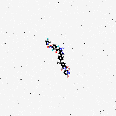 O=C1CCC(N2C(=O)c3ccc(Bc4ccc(-c5cnc6[nH]cc(C(=O)c7c(F)ccc(NS(=O)(=O)N8CC[C@@H](F)C8)c7F)c6c5)cc4)cc3C2=O)C(=O)N1